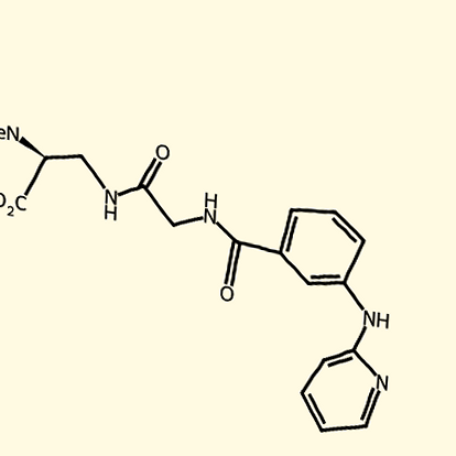 CN[C@@H](CNC(=O)CNC(=O)c1cccc(Nc2ccccn2)c1)C(=O)O